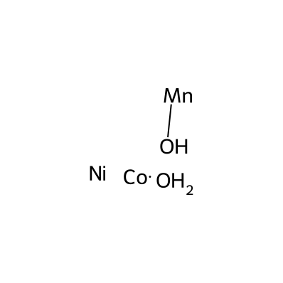 O.[Co].[Ni].[OH][Mn]